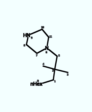 CCCCCCCC(C)(C)CN1CCNCC1